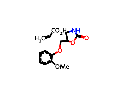 C=CC(=O)O.COc1ccccc1OCC1CNC(=O)O1